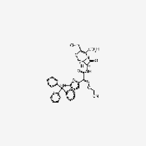 N#CCON=C(C(=O)N[C@@H]1C(=O)N2C(C(=O)O)=C(CCl)OC[C@H]12)c1csc(NC(c2ccccc2)(c2ccccc2)c2ccccc2)n1